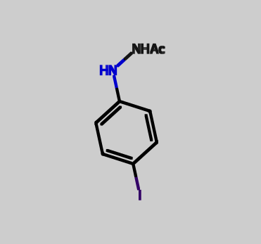 CC(=O)NNc1ccc(I)cc1